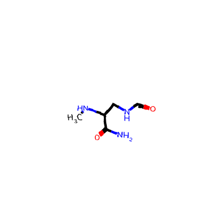 CNC(CNC=O)C(N)=O